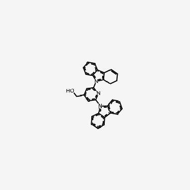 OCc1cc(-n2c3c(c4ccccc42)C=CCC3)nc(-n2c3ccccc3c3ccccc32)c1